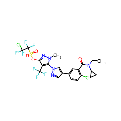 CCN(C(=O)c1cc(-c2cnn(-c3c(C(F)(F)F)c(OS(=O)(=O)C(F)(F)C(F)(F)Cl)nn3C)c2)ccc1Cl)C1CC1